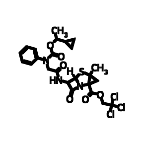 CC(OC(=O)N(CC(=O)NC1C(=O)N2[C@H]1SC1(C)CC21C(=O)OCC(Cl)(Cl)Cl)c1ccccc1)C1CC1